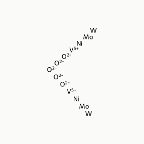 [Mo].[Mo].[Ni].[Ni].[O-2].[O-2].[O-2].[O-2].[O-2].[V+5].[V+5].[W].[W]